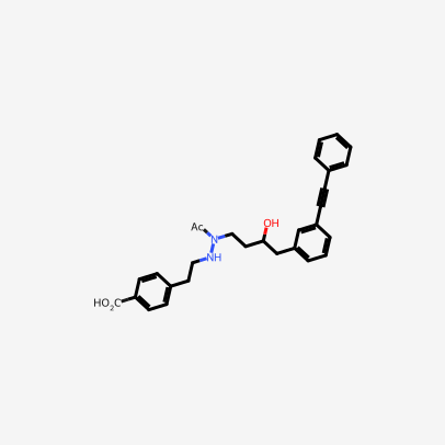 CC(=O)N(CCC(O)Cc1cccc(C#Cc2ccccc2)c1)NCCc1ccc(C(=O)O)cc1